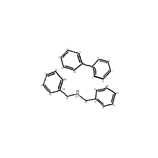 c1ccc(-c2ccccc2)cc1.c1ccc(CNCc2ccccc2)cc1